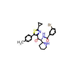 Cc1ccc(-c2sc(C3CC3)nc2C(=O)[C@@H](NC(=O)c2cccc(Br)c2)C2CCCCN2)cc1